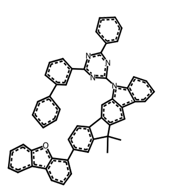 CC1(C)c2cc(-c3cccc4c3oc3ccccc34)ccc2-c2cc3c(cc21)c1ccccc1n3-c1nc(-c2ccccc2)nc(-c2cccc(-c3ccccc3)c2)n1